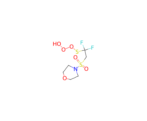 O=S(=O)(CC(F)(F)SOOO)N1CCOCC1